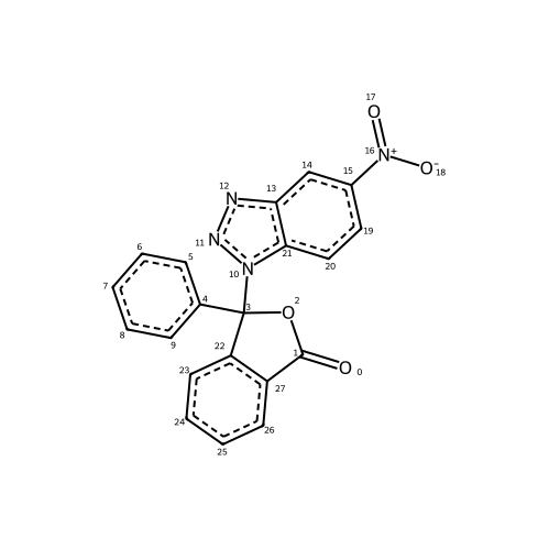 O=C1OC(c2ccccc2)(n2nnc3cc([N+](=O)[O-])ccc32)c2ccccc21